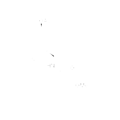 COc1ccccc1C(=O)NC[C@]1(c2cccs2)CC[C@H](OC(C)=O)CC1